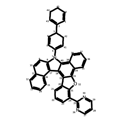 C1=CC(C2C=CC(n3c4ccc5ccccc5c4c4c5c6cccc(-c7ncccn7)c6oc5c5ccccc5c43)=CC2)=CCC1